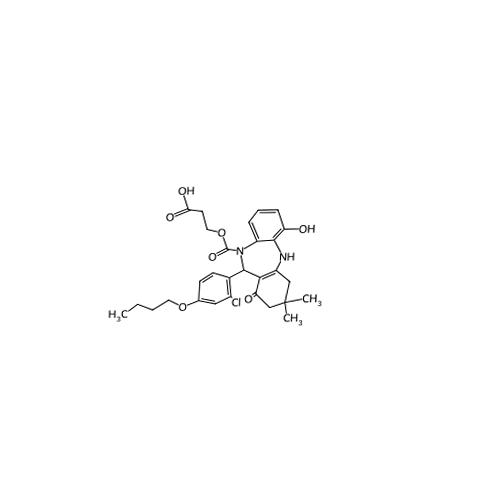 CCCCOc1ccc(C2C3=C(CC(C)(C)CC3=O)Nc3c(O)cccc3N2C(=O)OCCC(=O)O)c(Cl)c1